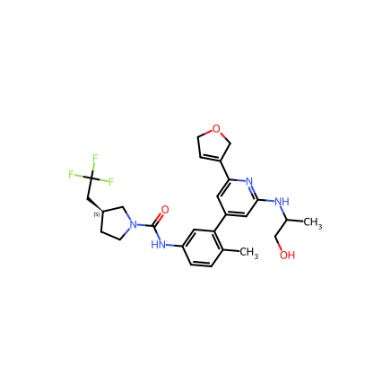 Cc1ccc(NC(=O)N2CC[C@@H](CC(F)(F)F)C2)cc1-c1cc(NC(C)CO)nc(C2=CCOC2)c1